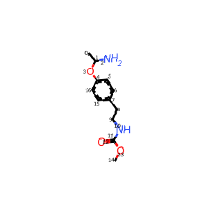 [CH2]C(N)Oc1ccc(CCNC(=O)OC)cc1